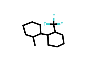 CC1CCCCC1C1CCCCC1C(F)(F)F